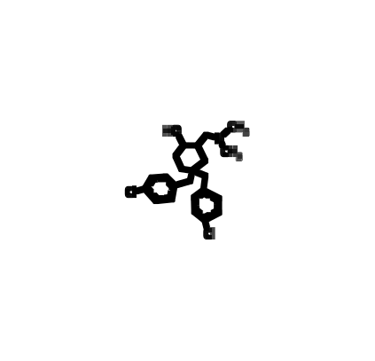 CN(C)CC1CC(Cc2ccc(Cl)cc2)(Cc2ccc(Cl)cc2)CCC1O